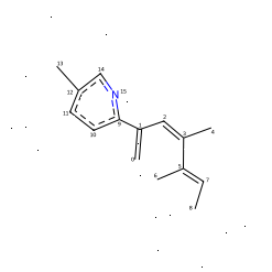 C=C(/C=C(C)\C(C)=C\C)c1ccc(C)cn1